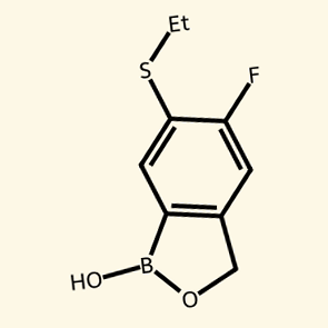 CCSc1cc2c(cc1F)COB2O